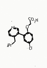 CC(C)Cc1ccncc1-c1cc(Cl)ccc1OCC(=O)O